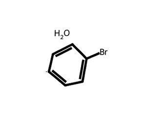 Brc1cc[c]cc1.O